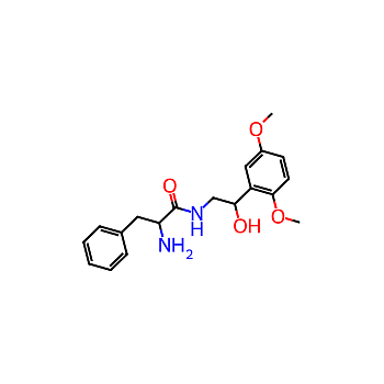 COc1ccc(OC)c(C(O)CNC(=O)C(N)Cc2ccccc2)c1